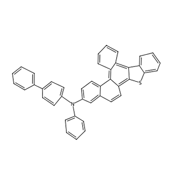 c1ccc(-c2ccc(N(c3ccccc3)c3ccc4c(ccc5c6sc7ccccc7c6c6ccccc6c45)c3)cc2)cc1